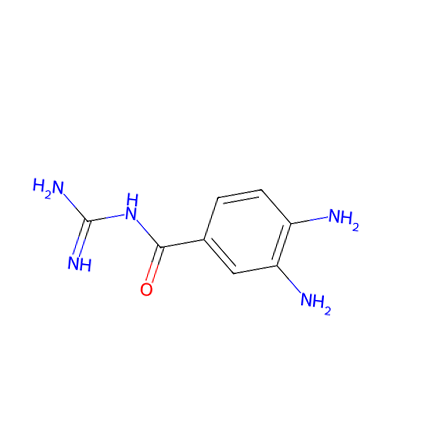 N=C(N)NC(=O)c1ccc(N)c(N)c1